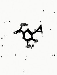 CCc1c(C(=O)O)cc(C(=O)OC)cc1C1CC1